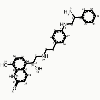 NC(CNc1ccc(CCNC[C@H](O)c2ccc(O)c3[nH]c(=O)ccc23)cc1)c1ccccc1